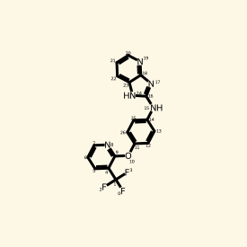 FC(F)(F)c1cccnc1Oc1ccc(Nc2nc3ncccc3[nH]2)cc1